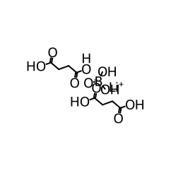 O=C(O)CCC(=O)O.O=C(O)CCC(=O)O.[Li+].[O-]B(O)O